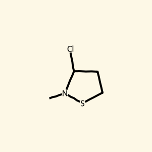 CN1SCCC1Cl